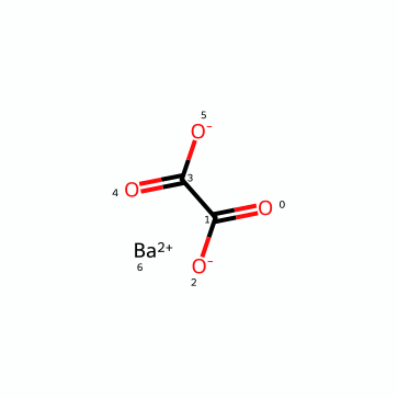 O=C([O-])C(=O)[O-].[Ba+2]